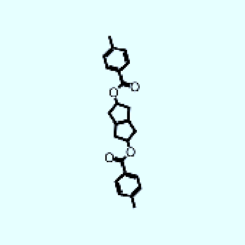 Cc1ccc(C(=O)OC2CC3CC(OC(=O)c4ccc(C)cc4)CC3C2)cc1